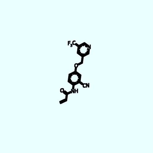 C=CC(=O)Nc1ccc(OCc2cncc(C(F)(F)F)c2)cc1C#N